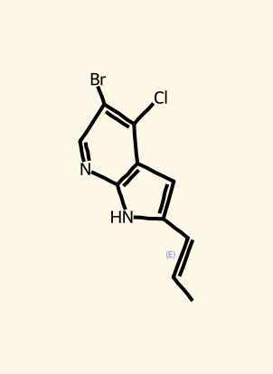 C/C=C/c1cc2c(Cl)c(Br)cnc2[nH]1